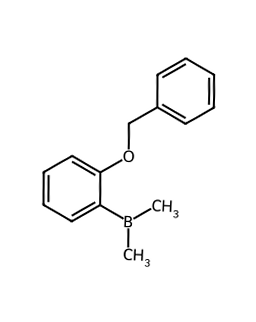 CB(C)c1ccccc1OCc1ccccc1